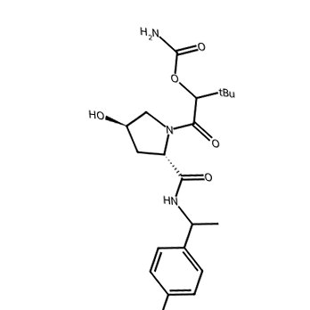 CC(NC(=O)[C@@H]1C[C@@H](O)CN1C(=O)C(OC(N)=O)C(C)(C)C)c1ccc(C#N)cc1